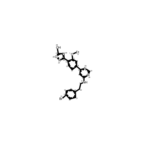 CCOc1cc(-c2cc(NCCc3ccc(Br)cc3)ncn2)ccc1-c1noc(O)n1